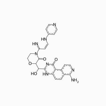 N=C(/C=C\Nc1ccncc1)N1CCOC(C(O)c2nc(=O)c3c(ccc4c(N)nccc43)[nH]2)C1=O